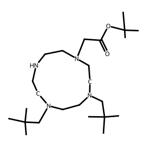 CC(C)(C)CN1CCNCCN(CC(=O)OC(C)(C)C)CCN(CC(C)(C)C)CC1